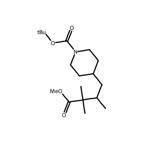 COC(=O)C(C)(C)C(C)CC1CCN(C(=O)OC(C)(C)C)CC1